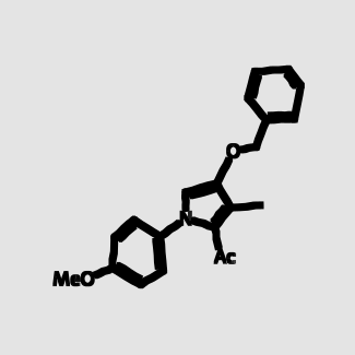 COc1ccc(-n2cc(OCc3ccccc3)c(C)c2C(C)=O)cc1